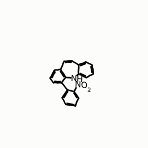 O=[N+]([O-])c1ccccc1-c1cccc2c1Nc1ccccc1C=C2